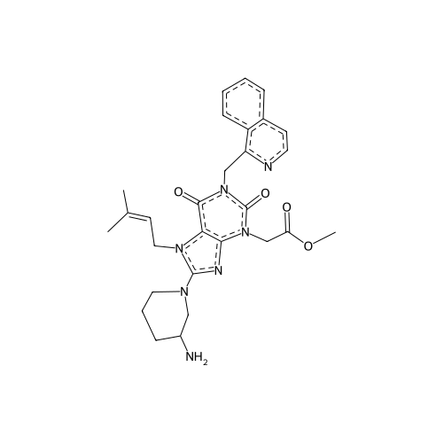 COC(=O)Cn1c(=O)n(Cc2nccc3ccccc23)c(=O)c2c1nc(N1CCCC(N)C1)n2CC=C(C)C